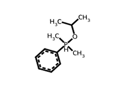 CC(C)O[PH](C)(C)c1ccccc1